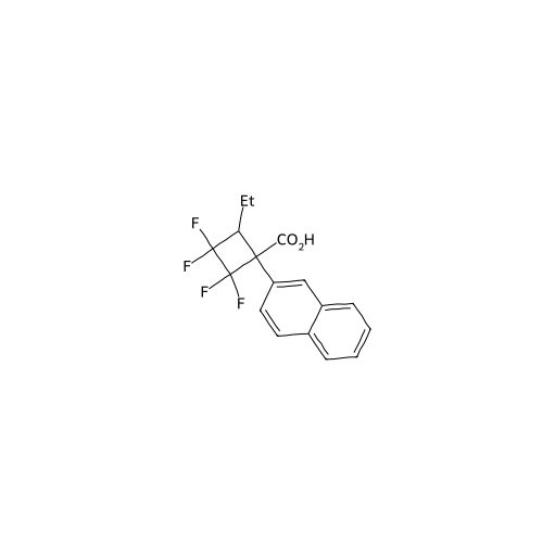 CCC1C(F)(F)C(F)(F)C1(C(=O)O)c1ccc2ccccc2c1